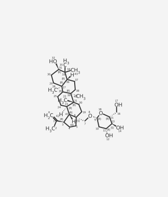 C=C(C)[C@@H]1CC[C@]2(CO[C@H]3C[C@@H](O)[C@H](O)[C@@H](CO)O3)CC[C@]3(C)[C@H](CCC4[C@@]5(C)CC[C@@H](O)C(C)(C)[C@@H]5CC[C@]43C)[C@@H]12